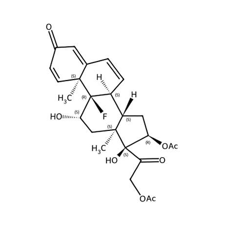 CC(=O)OCC(=O)[C@@]1(O)[C@H](OC(C)=O)C[C@H]2[C@@H]3C=CC4=CC(=O)C=C[C@]4(C)[C@@]3(F)[C@@H](O)C[C@@]21C